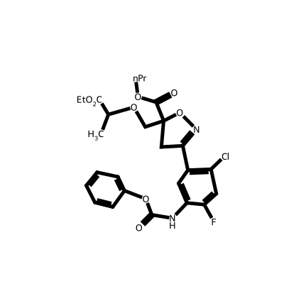 CCCOC(=O)C1(COC(C)C(=O)OCC)CC(c2cc(NC(=O)Oc3ccccc3)c(F)cc2Cl)=NO1